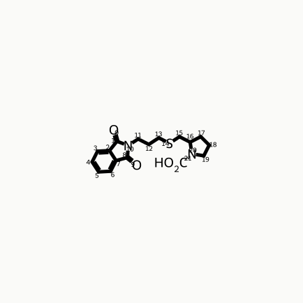 O=C1c2ccccc2C(=O)N1CCCSCC1CCCN1C(=O)O